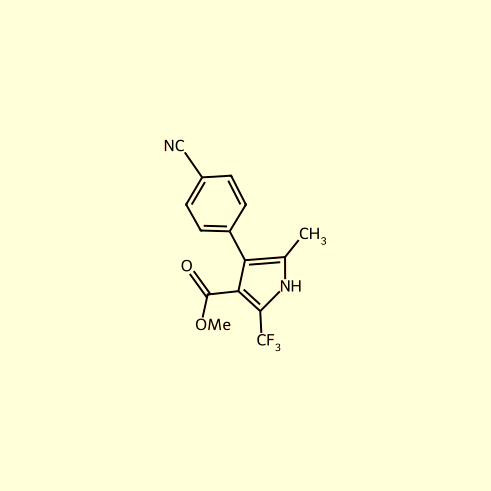 COC(=O)c1c(C(F)(F)F)[nH]c(C)c1-c1ccc(C#N)cc1